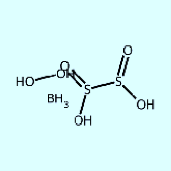 B.O=S(O)S(=O)O.OO